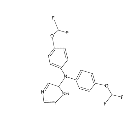 FC(F)Oc1ccc(N(c2ccc(OC(F)F)cc2)C2C=NC=[C]N2)cc1